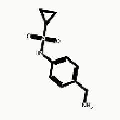 NCc1ccc(NS(=O)(=O)C2CC2)cc1